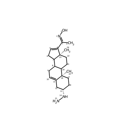 C/C(=N\O)C1=CCC2C3CC=C4C[C@@H](NN)CC[C@]4(C)C3CC[C@]12C